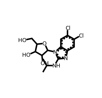 CC(C)Nc1nc2cc(Cl)c(Cl)cc2n1C1OC(CO)C(O)C1O